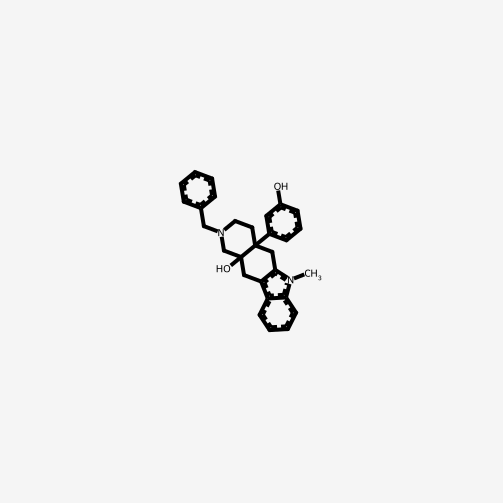 Cn1c2c(c3ccccc31)CC1(O)CN(Cc3ccccc3)CCC1(c1cccc(O)c1)C2